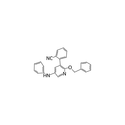 N#Cc1ccccc1-c1cc(Nc2ccccc2)cnc1OCc1ccccc1